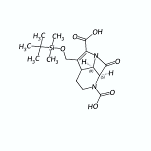 CC(C)(C)[Si](C)(C)OCC1=C(C(=O)O)N2C(=O)[C@@H]3[C@H]2C1CCN3C(=O)O